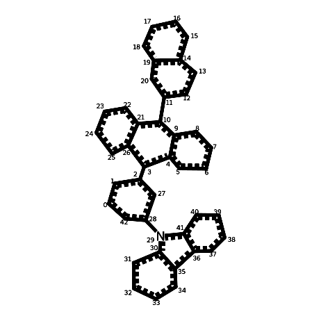 c1cc(-c2c3ccccc3c(-c3ccc4ccccc4c3)c3ccccc23)cc(-n2c3ccccc3c3ccccc32)c1